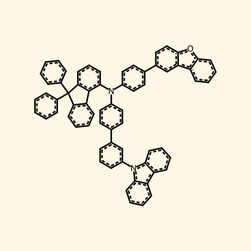 c1ccc(C2(c3ccccc3)c3ccccc3-c3c(N(c4ccc(-c5cccc(-n6c7ccccc7c7ccccc76)c5)cc4)c4ccc(-c5ccc6oc7ccccc7c6c5)cc4)cccc32)cc1